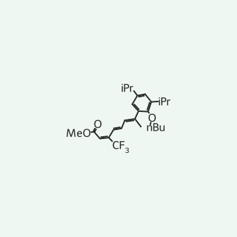 CCCCOc1c(/C(C)=C/C=C/C(=C\C(=O)OC)C(F)(F)F)cc(C(C)C)cc1C(C)C